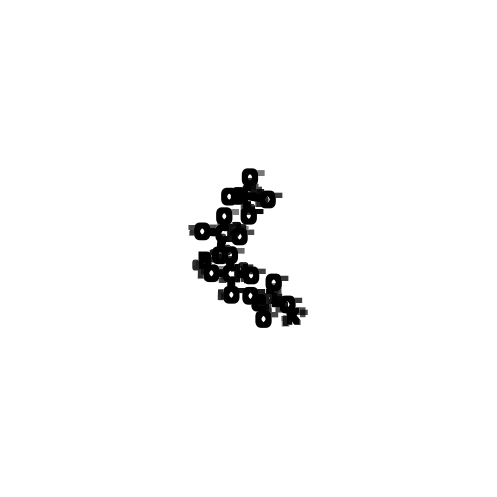 [B+3].[K+].[O-][Cl+3]([O-])([O-])[O-].[O-][Cl+3]([O-])([O-])[O-].[O-][Cl+3]([O-])([O-])[O-].[O-][Cl+3]([O-])([O-])[O-]